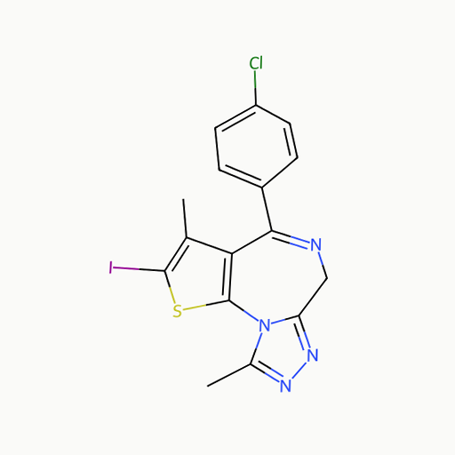 Cc1c(I)sc2c1C(c1ccc(Cl)cc1)=NCc1nnc(C)n1-2